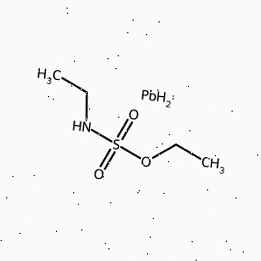 CCNS(=O)(=O)OCC.[PbH2]